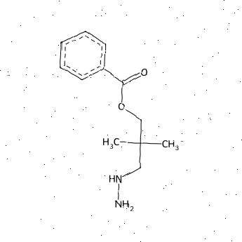 CC(C)(CNN)COC(=O)c1ccccc1